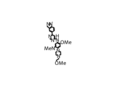 CNc1cc(Nc2cc(-c3ccc4c(cnn4C)c3)ncn2)c(OC)cc1N1CCN(CCOC)CC1